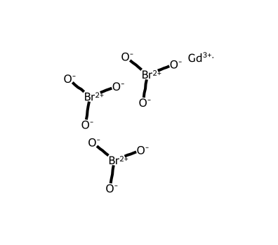 [Gd+3].[O-][Br+2]([O-])[O-].[O-][Br+2]([O-])[O-].[O-][Br+2]([O-])[O-]